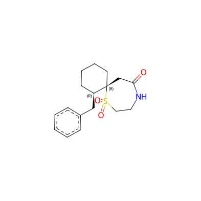 O=C1C[C@@]2(CCCC[C@@H]2Cc2ccccc2)S(=O)(=O)CCN1